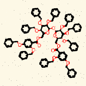 O=C(OCC1O[C@H](O[C@H]2OC(COC(=O)c3ccc(OCc4ccccc4)cc3OCc3ccccc3)[C@@H](OCc3ccccc3)C(OCc3ccccc3)C2OCc2ccccc2)C(OCc2ccccc2)C(OCc2ccccc2)[C@@H]1OCc1ccccc1)c1ccc(OCc2ccccc2)cc1OCc1ccccc1